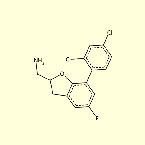 NCC1Cc2cc(F)cc(-c3ccc(Cl)cc3Cl)c2O1